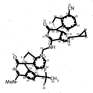 CNC1=NC(=O)[C@]2(CCc3c2ccc[n+]3CNC2=NC(=O)[C@]3(CCc4c(C#N)cccc43)c3cc(C4CC4)ncc32)c2cc(C(C)(F)F)ccc21